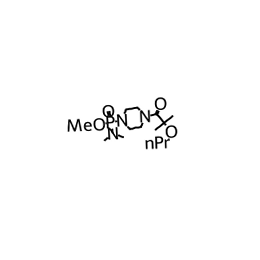 CCCOC(C)(C)C(=O)N1CCN(P(=O)(OC)N(C)C)CC1